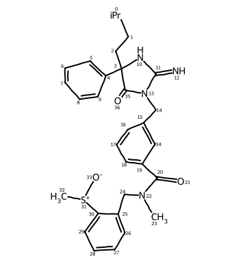 CC(C)CCC1(c2ccccc2)NC(=N)N(Cc2cccc(C(=O)N(C)Cc3ccccc3[S+](C)[O-])c2)C1=O